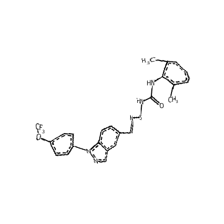 Cc1cccc(C)c1NC(=O)NS/N=C/c1ccc2c(cnn2-c2ccc(OC(F)(F)F)cc2)c1